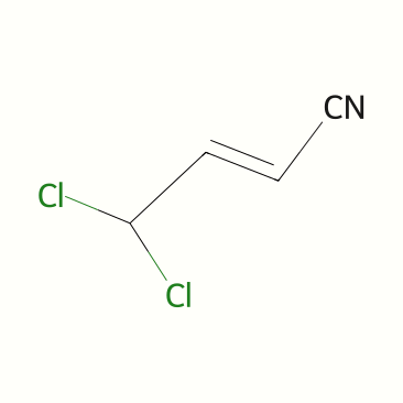 N#CC=CC(Cl)Cl